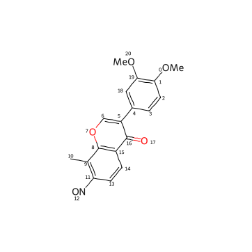 COc1ccc(-c2coc3c(C)c(N=O)ccc3c2=O)cc1OC